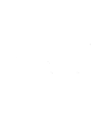 CC(C)(C)c1cc(-c2noc(-c3ccc(C(=O)O)cc3)n2)ccc1OCCO